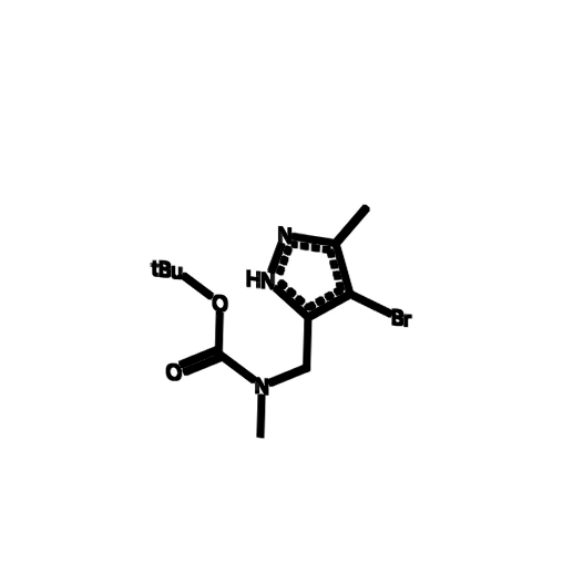 Cc1n[nH]c(CN(C)C(=O)OC(C)(C)C)c1Br